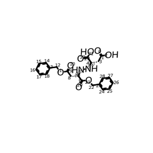 O=C(O)C[C@H](NN[C@@H](CC(=O)OCc1ccccc1)C(=O)OCc1ccccc1)C(=O)O